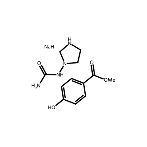 COC(=O)c1ccc(O)cc1.NC(=O)NN1CCNC1.[NaH]